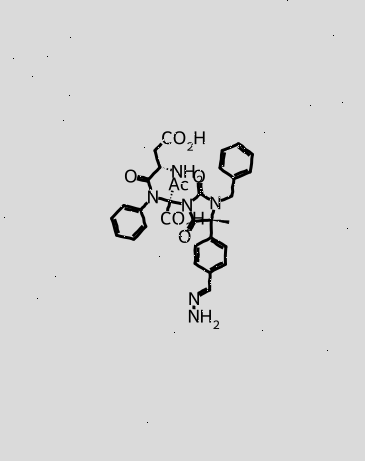 CC(=O)[C@@](C(=O)O)(N1C(=O)N(Cc2ccccc2)[C@](C)(c2ccc(C=NN)cc2)C1=O)N(C(=O)[C@@H](N)CC(=O)O)c1ccccc1